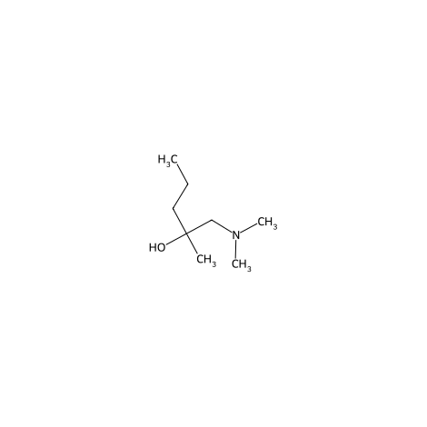 CCCC(C)(O)CN(C)C